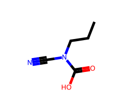 CCCN(C#N)C(=O)O